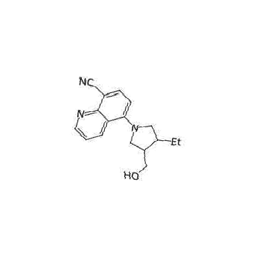 CCC1CN(c2ccc(C#N)c3ncccc23)CC1CO